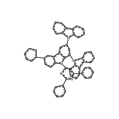 c1ccc(-c2ccc3c(c2)c2cc(-n4c5ccccc5c5ccccc54)cc(-n4c5ccccc5c5ccccc54)c2n3-c2nc(-c3ccccc3)nc(-c3ccccc3)n2)cc1